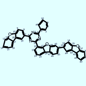 c1ccc(-c2nc(-c3ccc4oc5ccccc5c4c3)nc(-c3cccc4c3oc3cc(-c5ccc6oc7ccccc7c6c5)ccc34)n2)cc1